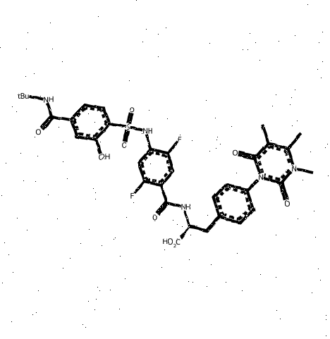 Cc1c(C)n(C)c(=O)n(-c2ccc(C[C@H](NC(=O)c3cc(F)c(NS(=O)(=O)c4ccc(C(=O)NC(C)(C)C)cc4O)cc3F)C(=O)O)cc2)c1=O